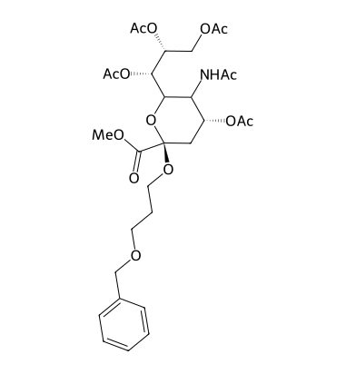 COC(=O)[C@@]1(OCCCOCc2ccccc2)C[C@@H](OC(C)=O)C(NC(C)=O)C([C@H](OC(C)=O)[C@@H](COC(C)=O)OC(C)=O)O1